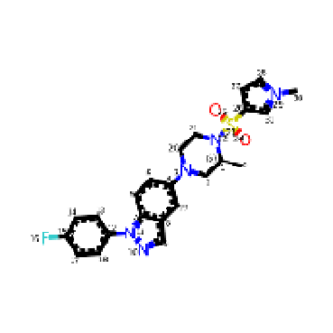 C[C@H]1CN(c2ccc3c(cnn3-c3ccc(F)cc3)c2)CCN1S(=O)(=O)c1ccn(C)c1